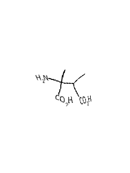 CC(C(=O)O)C(C)(N)C(=O)O